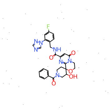 O=C(NCc1ccc(F)cc1-n1cncn1)c1cc(=O)n2c(n1)C1(CCN(C(=O)c3ccccc3)CC1O)OCC2